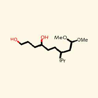 COC(CC(CCC(O)CCCO)C(C)C)OC